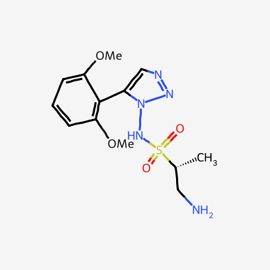 COc1cccc(OC)c1-c1cnnn1NS(=O)(=O)[C@H](C)CN